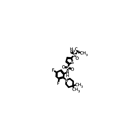 CN(C)S(=O)(=O)c1ccc(S(=O)(=O)Nc2cc(F)cc(F)c2N2CCC(C)(C)CC2)s1